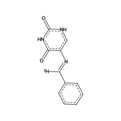 [2H]C(=Nc1c[nH]c(=O)[nH]c1=O)c1ccccc1